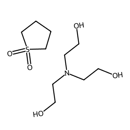 O=S1(=O)CCCC1.OCCN(CCO)CCO